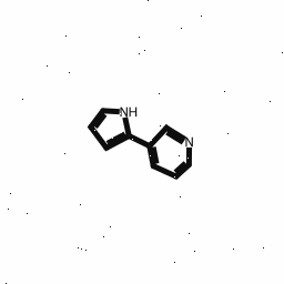 [c]1ncccc1-c1ccc[nH]1